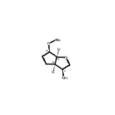 CC(C)(C)O[C@@H]1CC[C@H]2[C@@H]1OC[C@H]2O